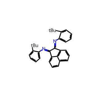 CC(C)(C)c1ccccc1/N=C1/C(=N/c2ccccc2C(C)(C)C)c2cccc3cccc1c23